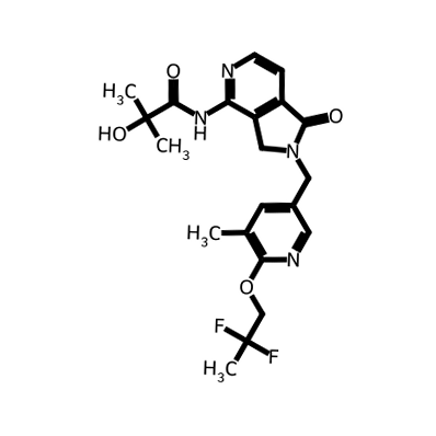 Cc1cc(CN2Cc3c(ccnc3NC(=O)C(C)(C)O)C2=O)cnc1OCC(C)(F)F